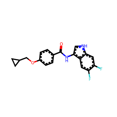 O=C(Nc1c[nH]c2cc(F)c(F)cc12)c1ccc(OCC2CC2)cc1